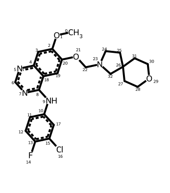 COc1cc2ncnc(Nc3ccc(F)c(Cl)c3)c2cc1OCN1CCC2(CCOCC2)C1